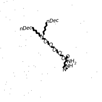 CCCCCCCCCCCCCCCCN(CCCCCCCCCCCCCCCC)CCOCCOCCOCCOCCOC(=O)C(N)Cc1cnc[nH]1